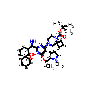 C[C@H](Oc1cc(N2CCN(C(=O)OC(C)(C)C)C3(CCC3)C2)nc(C(=N)C2CCC[C@@]3(CCCCC3=O)[C@@H]2O)n1)[C@@H]1CCCN1C